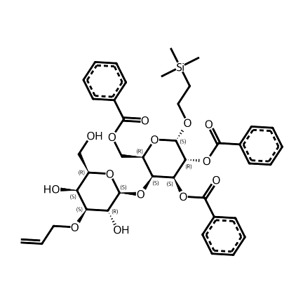 C=CCO[C@H]1[C@@H](O)[C@@H](CO)O[C@@H](O[C@@H]2[C@H](OC(=O)c3ccccc3)[C@@H](OC(=O)c3ccccc3)[C@@H](OCC[Si](C)(C)C)O[C@@H]2COC(=O)c2ccccc2)[C@@H]1O